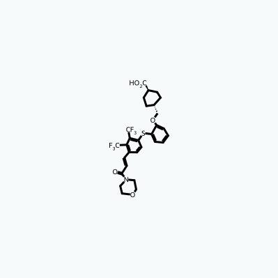 O=C(C=Cc1ccc(Sc2ccccc2OC[C@H]2CC[C@H](C(=O)O)CC2)c(C(F)(F)F)c1C(F)(F)F)N1CCOCC1